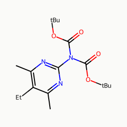 CCc1c(C)nc(N(C(=O)OC(C)(C)C)C(=O)OC(C)(C)C)nc1C